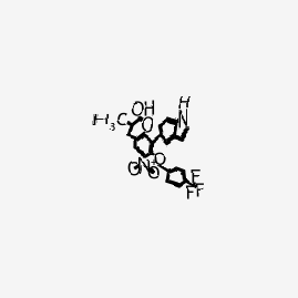 CC(Cc1cc(-c2ccc3[nH]ccc3c2)c(OCc2ccc(C(F)(F)F)cc2)c([N+](=O)[O-])c1)C(=O)O